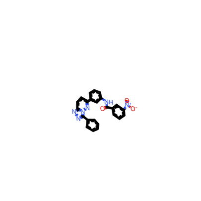 O=C(Nc1cccc(-c2ccc3nnc(-c4ccccc4)n3n2)c1)c1cccc([N+](=O)[O-])c1